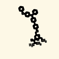 C=CC(=O)OC(COC(=O)C(=C)C)COc1ccc(-c2ccc(N(c3ccccc3)c3ccc(Oc4ccccc4)cc3)cc2)cc1